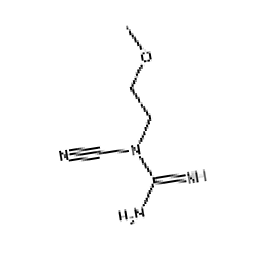 COCCN(C#N)C(=N)N